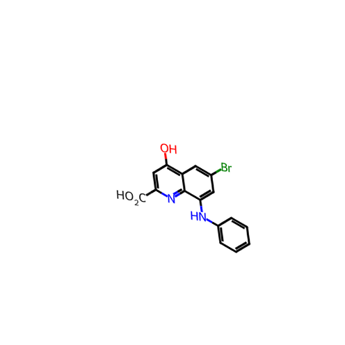 O=C(O)c1cc(O)c2cc(Br)cc(Nc3ccccc3)c2n1